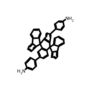 Nc1ccc(-c2ccc3c(c2)C2(c4ccccc4-c4ccccc42)c2ccc(-c4ccc(N)cc4)cc2C32c3ccccc3-c3ccccc32)cc1